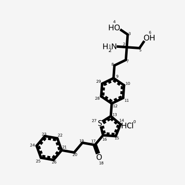 Cl.NC(CO)(CO)CCc1ccc(-c2ccc(C(=O)CCc3ccccc3)s2)cc1